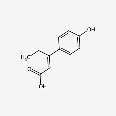 CCC(=CC(=O)O)c1ccc(O)cc1